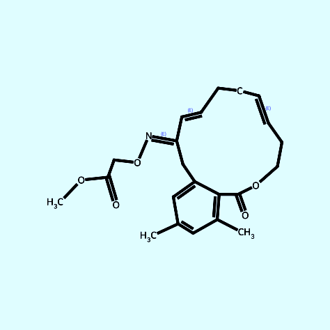 COC(=O)CO/N=C1/C=C/CC/C=C/CCOC(=O)c2c(C)cc(C)cc2C1